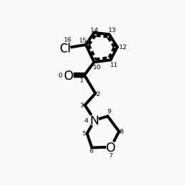 O=C(CCN1CCOCC1)c1ccccc1Cl